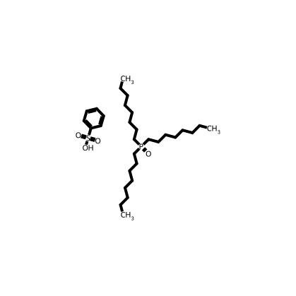 CCCCCCCCP(=O)(CCCCCCCC)CCCCCCCC.O=S(=O)(O)c1ccccc1